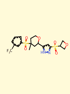 CC1(S(=O)(=O)c2cccc(C(F)(F)F)c2)CCOC(c2cc(S(=O)(=O)C3COC3)n[nH]2)C1